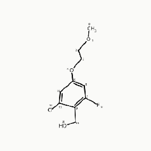 COCCOc1cc(F)c(CO)c(Cl)c1